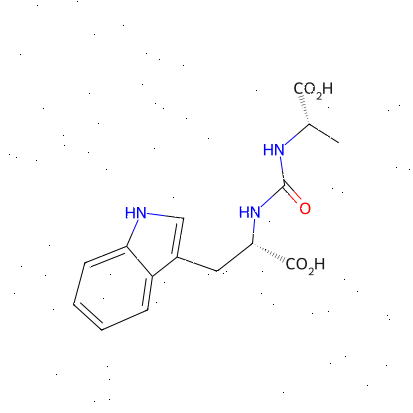 C[C@H](NC(=O)N[C@@H](Cc1c[nH]c2ccccc12)C(=O)O)C(=O)O